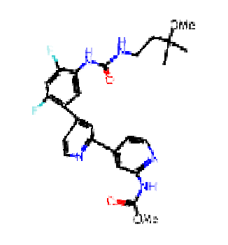 COC(=O)Nc1cc(-c2cc(-c3cc(NC(=O)NCCC(C)(C)OC)c(F)cc3F)ccn2)ccn1